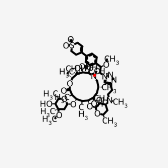 CC[C@H]1OC(=O)[C@H](C)[C@@H](O[C@H]2C[C@@](C)(OC)[C@@H](O)[C@H](C)O2)[C@H](C)[C@@H](O[C@@H]2O[C@H](C)C[C@H](N(C)CCc3cn([C@H](CF)[C@H](OC)c4ccc(C5=CCS(=O)(=O)CC5)cc4)nn3)[C@H]2O)[C@](C)(O)C[C@@H](C)CN(C)[C@H](C)[C@@H](O)[C@]1(C)O